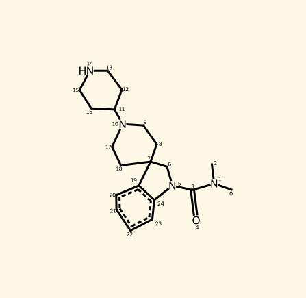 CN(C)C(=O)N1CC2(CCN(C3CCNCC3)CC2)c2ccccc21